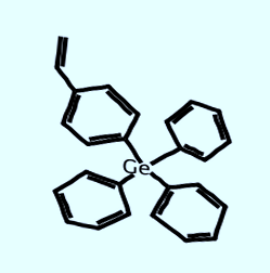 C=Cc1cc[c]([Ge]([c]2ccccc2)([c]2ccccc2)[c]2ccccc2)cc1